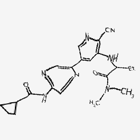 CCC(Nc1cc(-c2cnc(NC(=O)C3CC3)cn2)cnc1C#N)C(=O)N(C)C